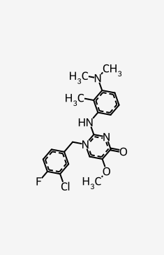 COc1cn(Cc2ccc(F)c(Cl)c2)c(Nc2cccc(N(C)C)c2C)nc1=O